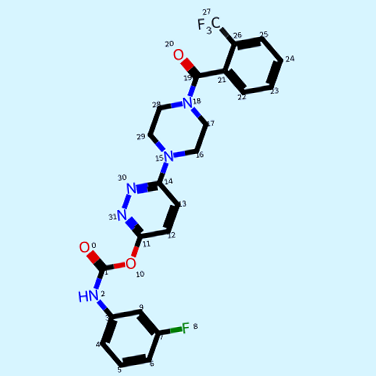 O=C(Nc1cccc(F)c1)Oc1ccc(N2CCN(C(=O)c3ccccc3C(F)(F)F)CC2)nn1